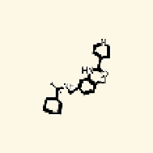 C[C@@H](NCc1ccc(Cl)c(NC(=O)c2ccncc2)c1)c1ccccc1